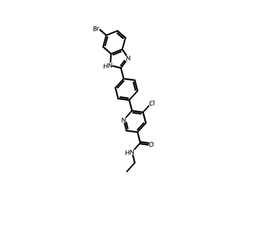 CCNC(=O)c1cnc(-c2ccc(-c3nc4ccc(Br)cc4[nH]3)cc2)c(Cl)c1